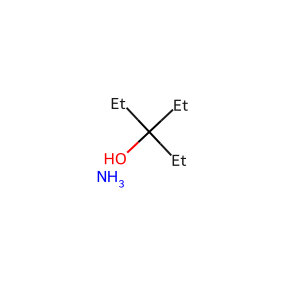 CCC(O)(CC)CC.N